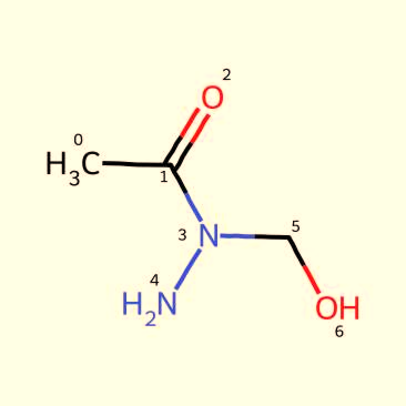 CC(=O)N(N)CO